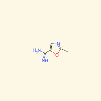 [CH2]c1ncc(C(=N)N)o1